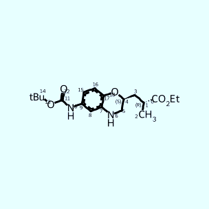 CCOC(=O)[C@H](C)C[C@H]1CNc2cc(NC(=O)OC(C)(C)C)ccc2O1